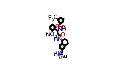 CC(C)(C)NCc1ccc2c(c1)CCCC2NC(=O)CC(NS(=O)(=O)c1cccc(C(F)(F)F)c1)c1ccccc1[N+](=O)[O-]